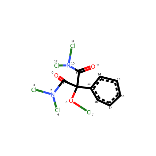 O=C(N(Cl)Cl)C(OCl)(C(=O)N(Cl)Cl)c1ccccc1